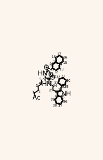 CC(=O)CCCCC[C@H](NS(=O)(=O)c1ccc2ccccc2c1)C(=O)NCCc1c(-c2ccccc2)[nH]c2ccccc12